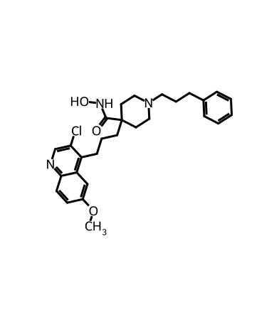 COc1ccc2ncc(Cl)c(CCCC3(C(=O)NO)CCN(CCCc4ccccc4)CC3)c2c1